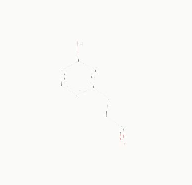 O=CCCc1cccc(Br)c1